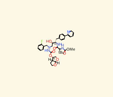 COC(=O)N[C@H](C(=O)N[C@@H](Cc1ccc(-c2ccccn2)cc1)[C@@H](O)CN(Cc1ccccc1F)NC(=O)O[C@H]1CO[C@H]2OCC[C@H]21)C(C)(C)C